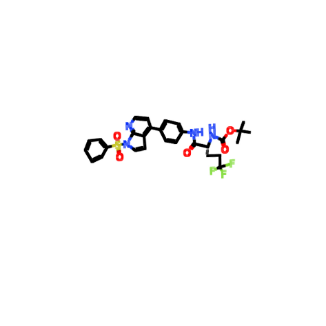 CC(C)(C)OC(=O)N[C@H](CCC(F)(F)F)C(=O)Nc1ccc(-c2ccnc3c2ccn3S(=O)(=O)c2ccccc2)cc1